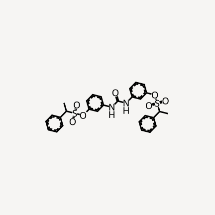 CC(c1ccccc1)S(=O)(=O)Oc1cccc(NC(=O)Nc2cccc(OS(=O)(=O)C(C)c3ccccc3)c2)c1